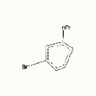 C[CH]Cc1cccc(Br)c1